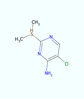 C[SH](C)c1ncc(Cl)c(N)n1